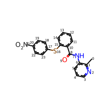 Cc1ncccc1NC(=O)c1ccccc1Sc1ccc([N+](=O)[O-])cc1